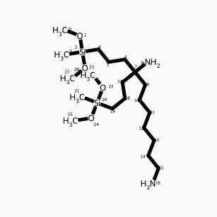 CO[Si](C)(CCCC(N)(CCCCCCCN)CCC[Si](C)(OC)OC)OC